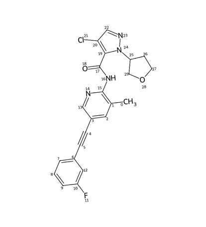 Cc1cc(C#Cc2cccc(F)c2)cnc1NC(=O)c1c(Cl)cnn1C1CCOC1